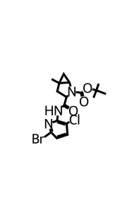 CC(C)(C)OC(=O)N1C(C(=O)Nc2nc(Br)ccc2Cl)CC2(C)CC12